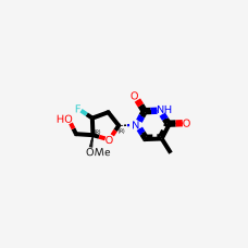 CO[C@]1(CO)O[C@@H](n2cc(C)c(=O)[nH]c2=O)CC1F